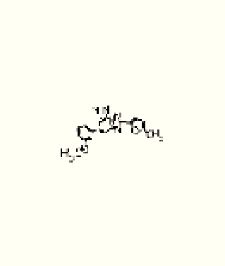 COc1cccc(-c2cc(N)n3nc(-c4ccc(C)o4)nc3c2)c1